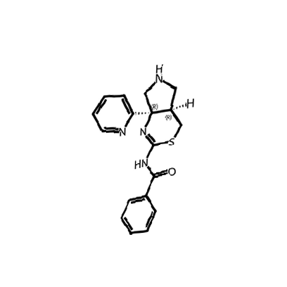 O=C(NC1=N[C@@]2(c3ccccn3)CNC[C@H]2CS1)c1ccccc1